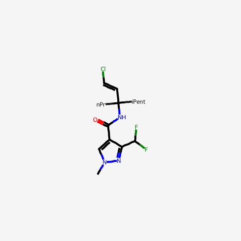 CCCC(C)C(C=CCl)(CCC)NC(=O)c1cn(C)nc1C(F)F